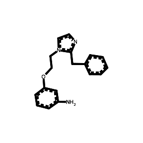 Nc1cccc(OCCn2ccnc2Cc2ccccc2)c1